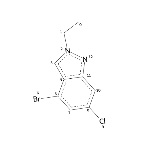 CCn1cc2c(Br)cc(Cl)cc2n1